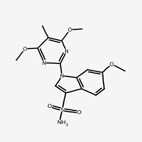 COc1ccc2c(S(N)(=O)=O)cn(-c3nc(OC)c(C)c(OC)n3)c2c1